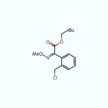 CCC(C)COC(=O)C(=NOC)c1ccccc1CCl